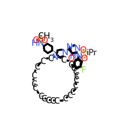 CC(C)S(=O)(=O)Nc1cc(F)ccc1Oc1cncnc1N1CCCC2(CCCCCCCCCCCCCCCCCCCCCCCCCCCCCN2C[C@H]2CC[C@H](NS(C)(=O)=O)CC2)C1